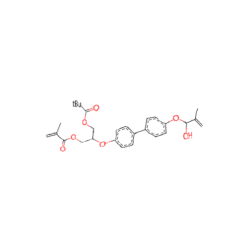 C=C(C)C(=O)OCC(COC(=O)C(C)(C)C)Oc1ccc(-c2ccc(OC(O)C(=C)C)cc2)cc1